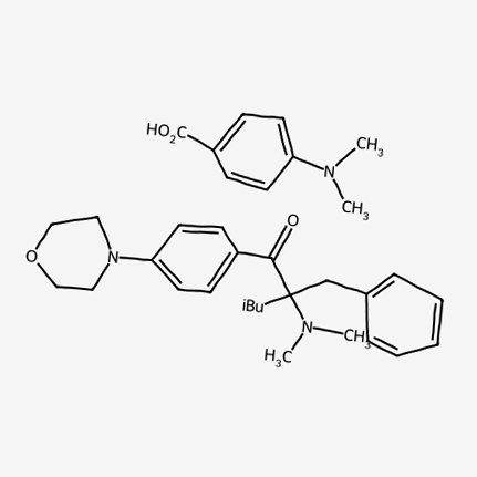 CCC(C)C(Cc1ccccc1)(C(=O)c1ccc(N2CCOCC2)cc1)N(C)C.CN(C)c1ccc(C(=O)O)cc1